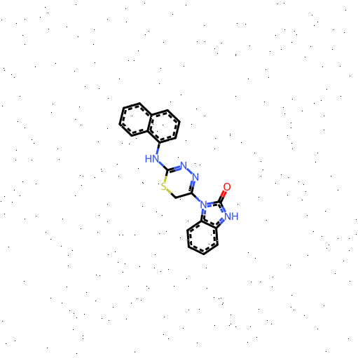 O=c1[nH]c2ccccc2n1C1=NN=C(Nc2cccc3ccccc23)SC1